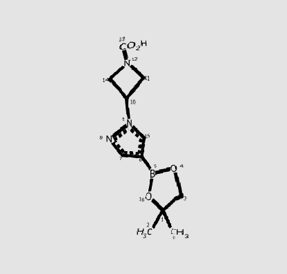 CC1(C)COB(c2cnn(C3CN(C(=O)O)C3)c2)O1